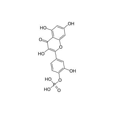 O=c1c(O)c(-c2ccc(OP(=O)(O)O)c(O)c2)oc2cc(O)cc(O)c12